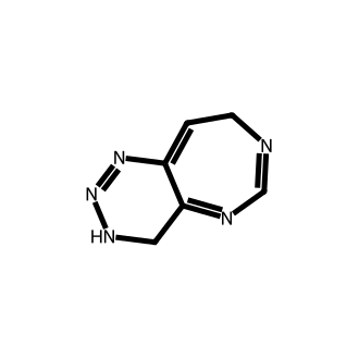 C1=NCC=C2N=NNCC2=N1